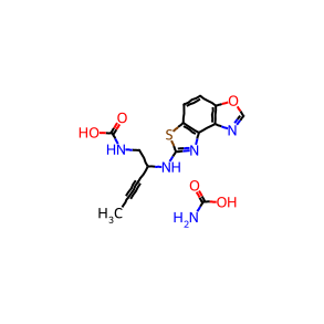 CC#CC(CNC(=O)O)Nc1nc2c(ccc3ocnc32)s1.NC(=O)O